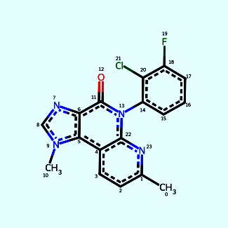 Cc1ccc2c3c(ncn3C)c(=O)n(-c3cccc(F)c3Cl)c2n1